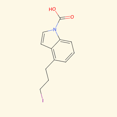 O=C(O)n1ccc2c(CCCI)cccc21